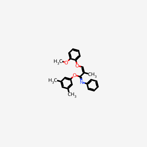 COc1ccccc1OC=C(C)C(=Nc1ccccc1)Oc1cc(C)cc(C)c1